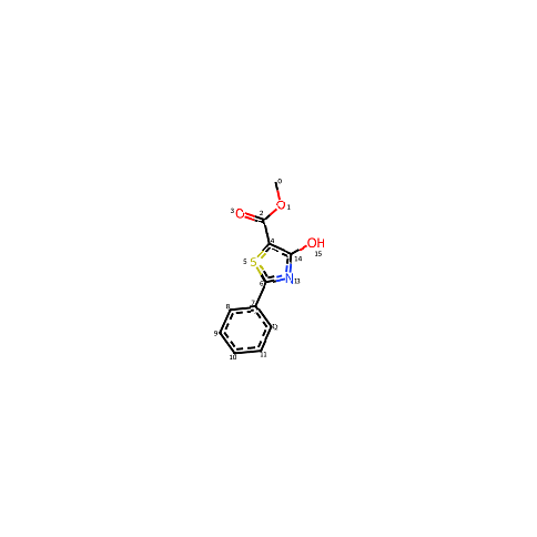 COC(=O)c1sc(-c2ccccc2)nc1O